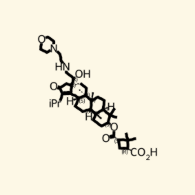 CC(C)C1=C2[C@H]3CC[C@@H]4[C@@]5(C)CC[C@H](OC(=O)[C@H]6C[C@@H](C(=O)O)C6(C)C)C(C)(C)[C@@H]5CC[C@@]4(C)[C@]3(C)CC[C@@]2([C@@H](O)CNCCN2CCOCC2)CC1=O